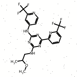 COC(C)CNc1nc(Nc2ccnc(C(F)(F)F)c2)nc(-c2cccc(C(F)(F)F)n2)n1